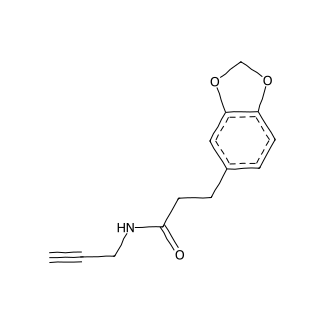 C#CCNC(=O)CCc1ccc2c(c1)OCO2